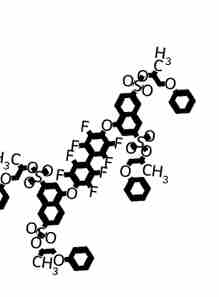 CC(COc1ccccc1)OS(=O)(=O)c1ccc2c(Oc3c(F)c(F)c(-c4c(F)c(F)c(Oc5cc(S(=O)(=O)OC(C)COc6ccccc6)cc6cc(S(=O)(=O)OC(C)COc7ccccc7)ccc56)c(F)c4F)c(F)c3F)cc(S(=O)(=O)OC(C)COc3ccccc3)cc2c1